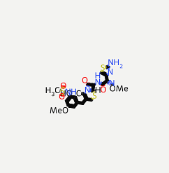 CO/N=C(\C(=O)N[C@@H]1C(=O)N2C(C(=O)O)=C(Cc3cc(NS(C)(=O)=O)cc(OC)c3)CS[C@H]12)c1csc(N)n1